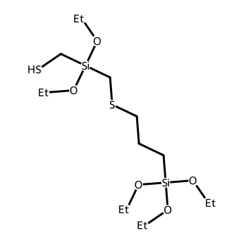 CCO[Si](CS)(CSCCC[Si](OCC)(OCC)OCC)OCC